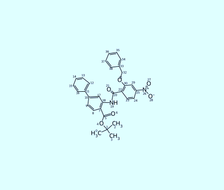 CC(C)(C)OC(=O)c1ccc(-c2ccccc2)cc1NC(=O)c1ccc([N+](=O)[O-])cc1OCc1ccccc1